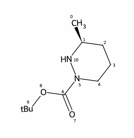 C[C@H]1CCCN(C(=O)OC(C)(C)C)N1